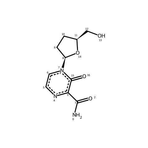 NC(=O)c1nccn([C@H]2CC[C@@H](CO)O2)c1=O